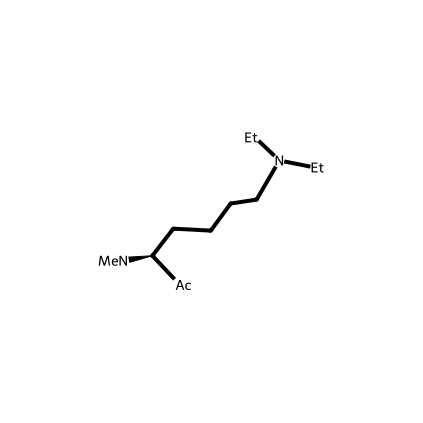 CCN(CC)CCCC[C@H](NC)C(C)=O